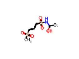 CCC(O)NS(=O)(=O)CCCS(C)(=O)=O